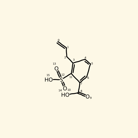 C=CCc1cccc(C(=O)O)c1S(=O)(=O)O